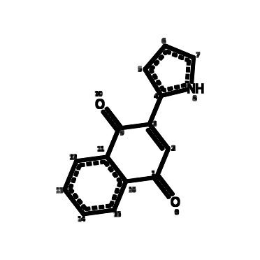 O=C1C=C(c2ccc[nH]2)C(=O)c2ccccc21